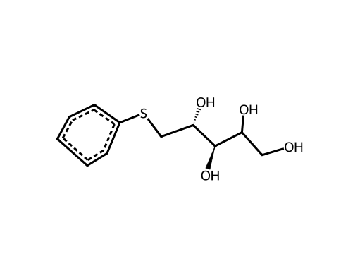 OCC(O)[C@@H](O)[C@@H](O)CSc1ccccc1